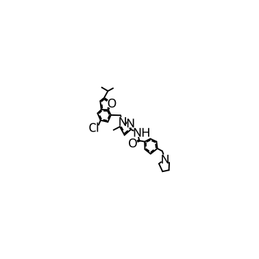 Cc1cc(NC(=O)c2ccc(CN3CCCC3)cc2)nn1Cc1cc(Cl)cc2cc(C(C)C)oc12